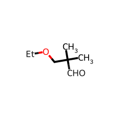 CCOCC(C)(C)C=O